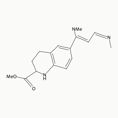 C/N=C\C=C(/NC)c1ccc2c(c1)CCC(C(=O)OC)N2